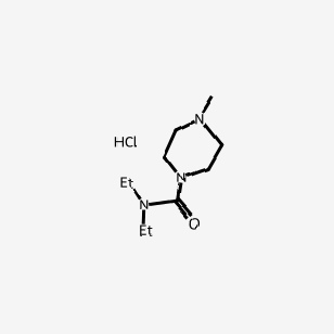 CCN(CC)C(=O)N1CCN(C)CC1.Cl